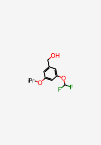 CC(C)Oc1cc(CO)cc(OC(F)F)c1